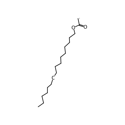 [CH2]C(=O)OCCCCCCCCCCCCCCCC